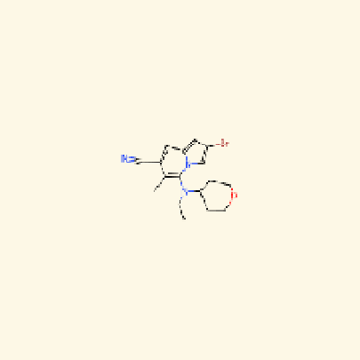 CCN(c1c(C)c(C#N)cc2cc(Br)cn12)C1CCOCC1